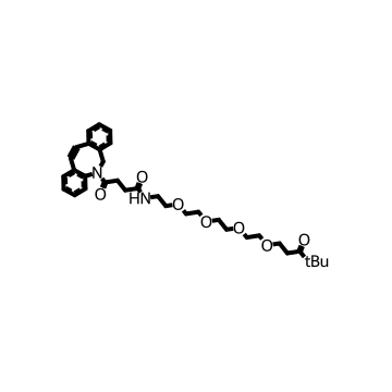 CC(C)(C)C(=O)CCOCCOCCOCCOCCNC(=O)CCC(=O)N1Cc2ccccc2C#Cc2ccccc21